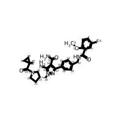 COc1ccc(F)cc1C(=O)NCc1ccc(-c2nn(C[C@@H]3CCN(C(=O)C4(F)CC4)C3)c(N)c2C(N)=O)cc1